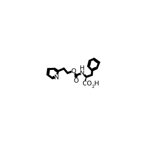 O=C(N[C@@H](Cc1ccccc1)C(=O)O)OCCc1ccccn1